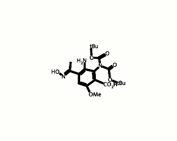 COc1cc(C(C)=NO)c(N)c(N(C(=O)OC(C)(C)C)C(=O)OC(C)(C)C)c1C(=O)O